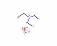 CCN(CC)CC.[Na+].[OH-]